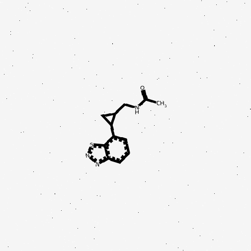 CC(=O)NCC1CC1c1cccc2nnsc12